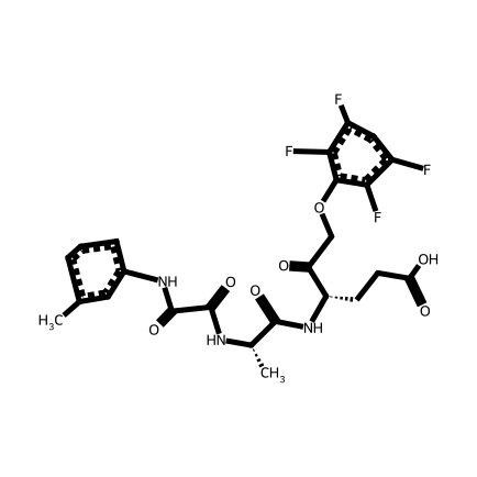 Cc1cccc(NC(=O)C(=O)N[C@@H](C)C(=O)N[C@@H](CCC(=O)O)C(=O)COc2c(F)c(F)cc(F)c2F)c1